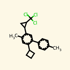 Cc1ccc(-c2cc(C3CC3C(Cl)(Cl)Cl)c(C)cc2C2CCC2)cc1